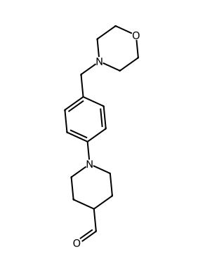 O=CC1CCN(c2ccc(CN3CCOCC3)cc2)CC1